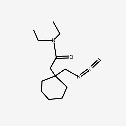 CCN(CC)C(=O)CC1(CN=C=S)CCCCC1